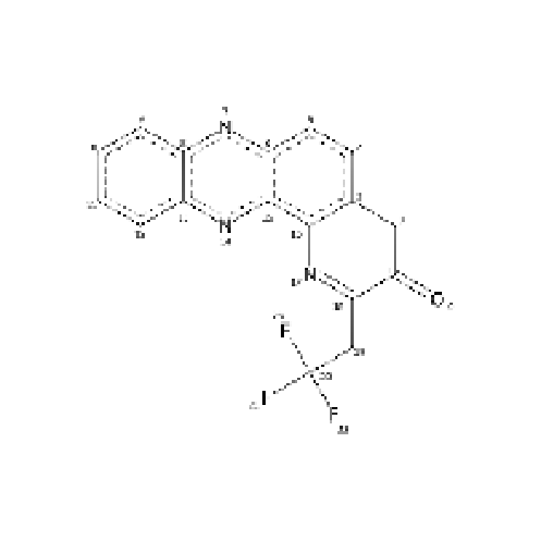 O=C1Cc2ccc3nc4ccccc4nc3c2N=C1CC(F)(F)F